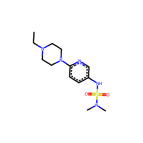 CCN1CCN(c2ccc(NS(=O)(=O)N(C)C)cn2)CC1